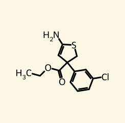 CCOC(=O)C1(c2cccc(Cl)c2)C=C(N)SC1